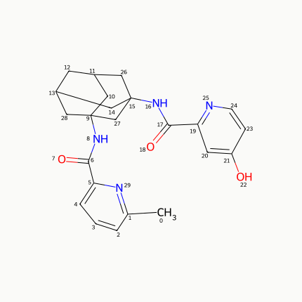 Cc1cccc(C(=O)NC23CC4CC(CC(NC(=O)c5cc(O)ccn5)(C4)C2)C3)n1